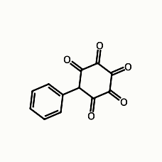 O=C1C(=O)C(=O)C(c2ccccc2)C(=O)C1=O